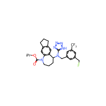 CC(C)OC(=O)N1CCCC(N(Cc2cc(CF)cc(C(F)(F)F)c2)c2nnn[nH]2)c2cc3c(cc21)CCC3